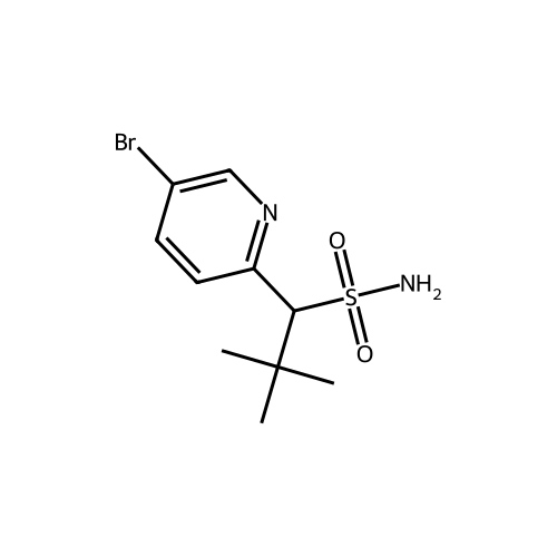 CC(C)(C)C(c1ccc(Br)cn1)S(N)(=O)=O